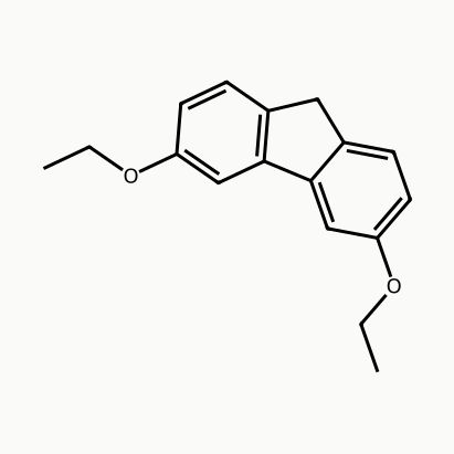 CCOc1ccc2c(c1)-c1cc(OCC)ccc1C2